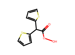 O=C(OO)C(c1cccs1)c1cccs1